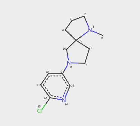 CN1CCCC12CCN(c1ccc(Cl)nc1)C2